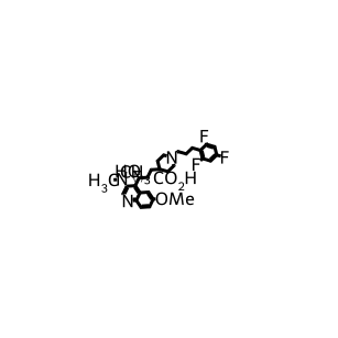 COc1ccc2ncc(N(C)C)c([C@@H](O)CCC3(C(=O)O)CCN(CCCc4c(F)cc(F)cc4F)CC3)c2c1